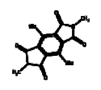 CC1C(=O)c2c(c(C(C)(C)C)c3c(c2C(C)(C)C)C(=O)N(C)C3=O)C1=O